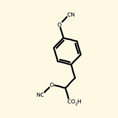 N#COc1ccc(CC(OC#N)C(=O)O)cc1